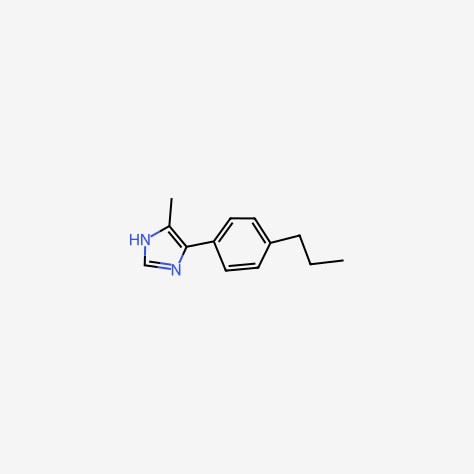 CCCc1ccc(-c2nc[nH]c2C)cc1